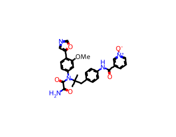 COc1cc(N(C(=O)C(N)=O)C(C)(C)Cc2ccc(NC(=O)c3ccc[n+]([O-])c3)cc2)ccc1-c1cnco1